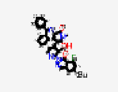 Cn1cc(-c2ccnc(-n3ncc4cc(C(C)(C)C)cc(F)c4c3=O)c2CO)cc(N=C(c2ccccc2)c2ccccc2)c1=O